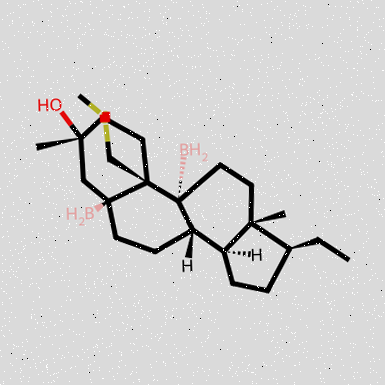 B[C@]12CC[C@H]3[C@@H]4CC[C@H](CC)[C@@]4(C)CC[C@]3(B)[C@@]1(CSC)CC[C@@](C)(O)C2